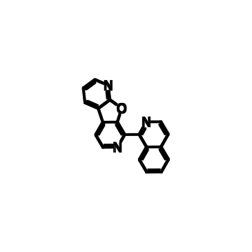 c1ccc2c(-c3nccc4c3oc3ncccc34)nccc2c1